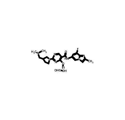 CCOc1nc(N2CCC(CN(C)C)C2)ncc1C(=O)Nc1cc(F)c2nc(C)cn2c1.O=CO